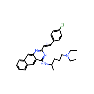 CCN(CC)CCCC(C)Nc1nc(/C=C/c2ccc(Cl)cc2)nc2cc3ccccc3cc12